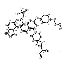 C=CC(=O)N1CC2(CCN(c3nc(OC4CCN(CCOC)CC4)nc4c(OCC(F)(F)F)c(-c5c(C)ccc6[nH]ncc56)ccc34)CC2)C1